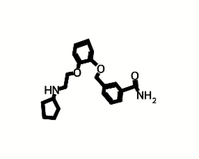 NC(=O)c1cccc(COc2ccccc2OCCNC2CCCC2)c1